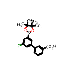 CC1(C)OB(c2cc(F)cc(-c3cccc(C(=O)O)c3)c2)OC1(C)C